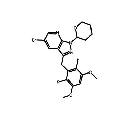 COc1cc(OC)c(F)c(Cc2nn(C3CCCCO3)c3ncc(Br)cc23)c1F